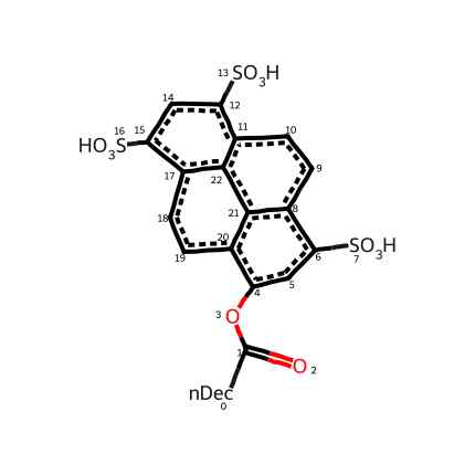 CCCCCCCCCCC(=O)Oc1cc(S(=O)(=O)O)c2ccc3c(S(=O)(=O)O)cc(S(=O)(=O)O)c4ccc1c2c43